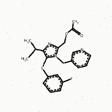 CC(=O)OCc1nc(C(C)C)c(Sc2cccc(F)c2)n1Cc1cccnc1